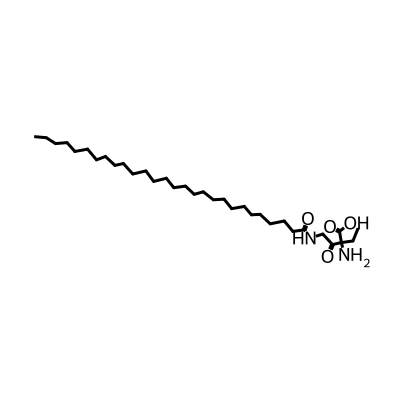 CCCCCCCCCCCCCCCCCCCCCCCCCCCC(=O)NCC(=O)C(N)(CC)C(=O)O